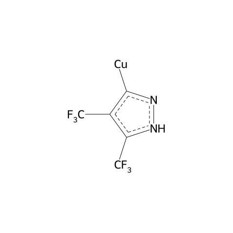 FC(F)(F)c1[nH]n[c]([Cu])c1C(F)(F)F